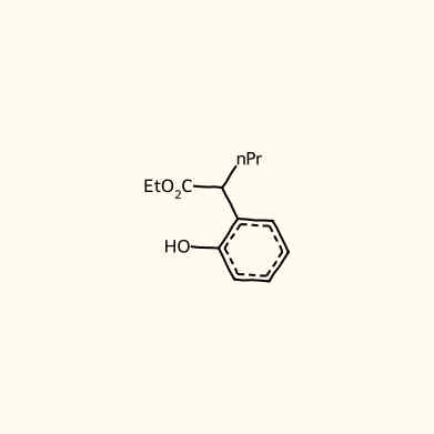 CCCC(C(=O)OCC)c1ccccc1O